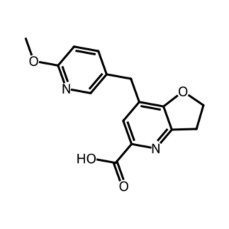 COc1ccc(Cc2cc(C(=O)O)nc3c2OCC3)cn1